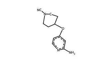 N#CN1CCC(Oc2ccnc(N)c2)CC1